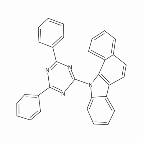 c1ccc(-c2nc(-c3ccccc3)nc(-n3c4ccccc4c4ccc5ccccc5c43)n2)cc1